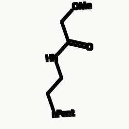 CCCCCCCNC(=O)COC